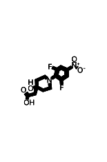 O=C(O)CC1(O)CCN(c2c(F)cc([N+](=O)[O-])cc2F)CC1